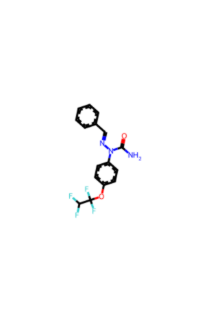 NC(=O)N(N=Cc1ccccc1)c1ccc(OC(F)(F)C(F)F)cc1